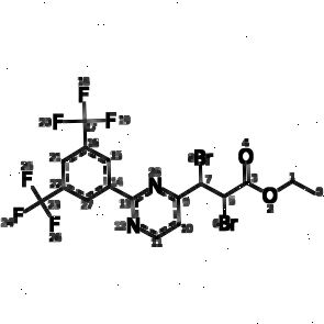 CCOC(=O)C(Br)C(Br)c1ccnc(-c2cc(C(F)(F)F)cc(C(F)(F)F)c2)n1